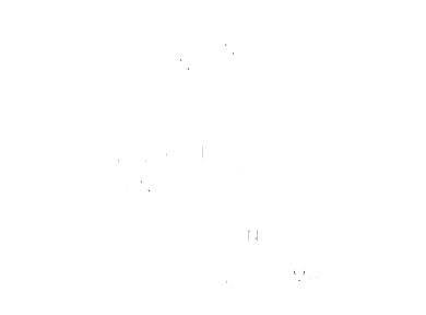 COC(=O)Nc1c(Cl)cc(NS(=O)(=O)CCCn2cc[n+](C)c2)c(O)c1Cl